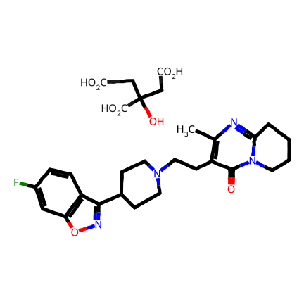 Cc1nc2n(c(=O)c1CCN1CCC(c3noc4cc(F)ccc34)CC1)CCCC2.O=C(O)CC(O)(CC(=O)O)C(=O)O